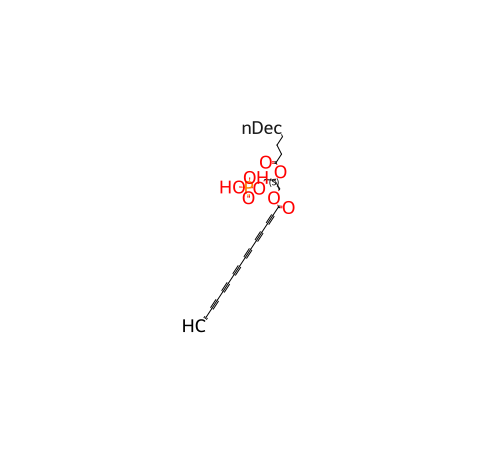 C#CC#CC#CC#CC#CC#CC#CC(=O)OC[C@@H](COP(=O)(O)O)OC(=O)CCCCCCCCCCCCC